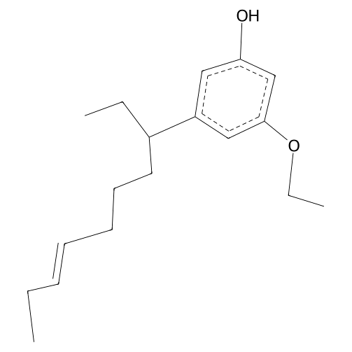 CCC=CCCCC(CC)c1cc(O)cc(OCC)c1